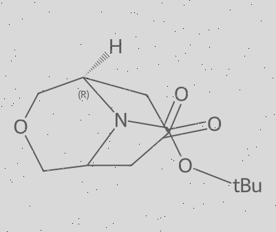 CC(C)(C)OC(=O)N1C2COC[C@H]1CC(=O)C2